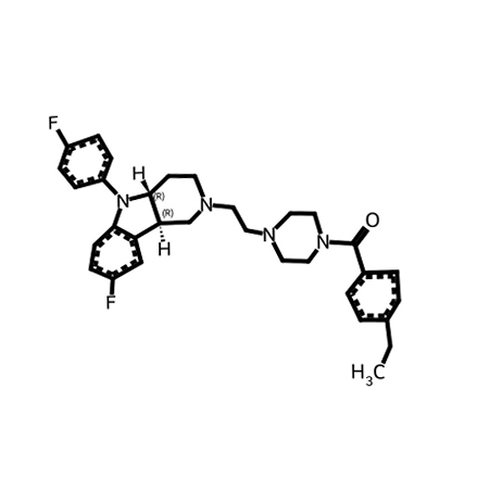 CCc1ccc(C(=O)N2CCN(CCN3CC[C@@H]4[C@@H](C3)c3cc(F)ccc3N4c3ccc(F)cc3)CC2)cc1